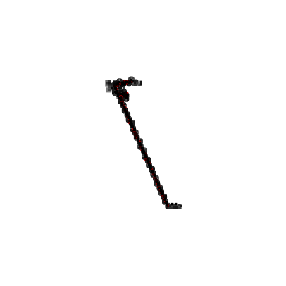 COCCOCCOCCOCCOCCOCCOCCOCCOCCOCCOCCOCCOCCOCCOCCOCCOCCOCCOCCOCCOCCOCCOCCOCCN(CCC(=O)N[C@H](C(=O)N[C@@H](C)C(=O)Nc1ccc(COC(=O)C(C)(C)C)cc1)C(C)C)C(=O)CN1C(=O)C=CC1=O